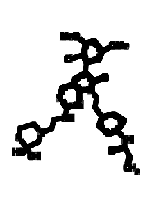 C=CC(=O)Nc1ccc(CCn2c(=O)c(-c3cc(OC)cc(OC)c3Cl)cc3cnc(NCCN4CCSC(O)(O)C4)nc32)cc1